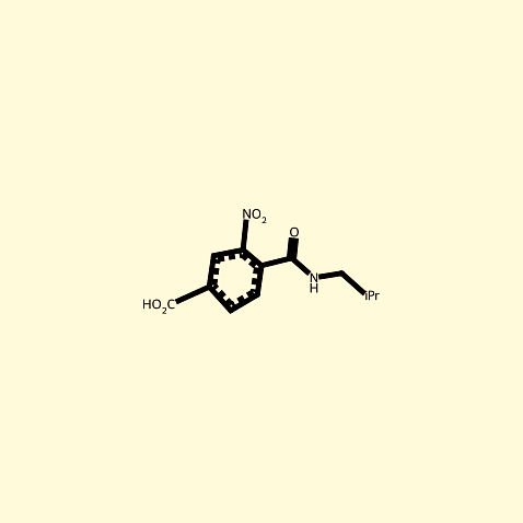 CC(C)CNC(=O)c1ccc(C(=O)O)cc1[N+](=O)[O-]